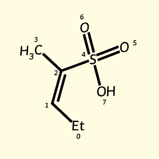 CCC=C(C)S(=O)(=O)O